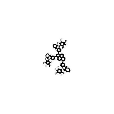 CC12CCCCC1(C)N(c1c(F)c(F)c(F)c(F)c1F)c1ccc(-c3ccc4ccc5c(-c6ccc7c(c6)C6(C)CCCCC6(C)N7c6c(F)c(F)c(F)c(F)c6F)cc(-c6ccc7c(c6)C6(C)CCCCC6(C)N7c6c(F)c(F)c(F)c(F)c6F)c6ccc3c4c56)cc12